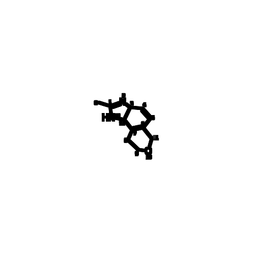 CC1=NC2C=CC3=C(CCOC3)C2N1